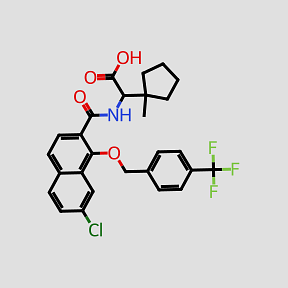 CC1(C(NC(=O)c2ccc3ccc(Cl)cc3c2OCc2ccc(C(F)(F)F)cc2)C(=O)O)CCCC1